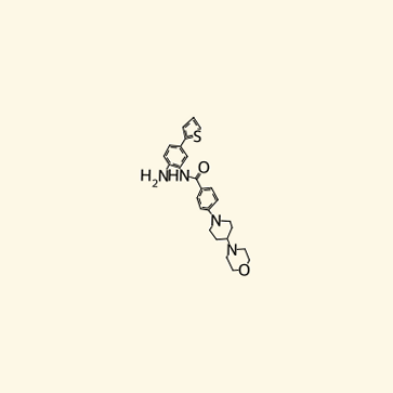 Nc1ccc(-c2cccs2)cc1NC(=O)c1ccc(N2CCC(N3CCOCC3)CC2)cc1